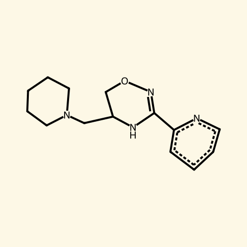 c1ccc(C2=NOCC(CN3CCCCC3)N2)nc1